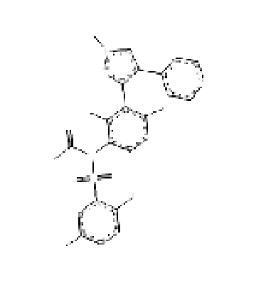 CC(=O)N(c1ccc(F)c(-c2nn(C)cc2-c2ccncc2)c1F)S(=O)(=O)c1cc(F)ccc1F